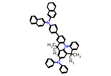 CC1(C)c2ccccc2N2c3ccc(-c4ccc(N(c5ccc6c(c5)CCC=C6)c5ccc6ccccc6c5)cc4)cc3C(C)(C)c3cc(N(c4ccccc4)c4ccccc4)cc1c32